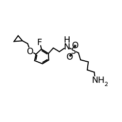 NCCCCCS(=O)(=O)NCCc1cccc(OCC2CC2)c1F